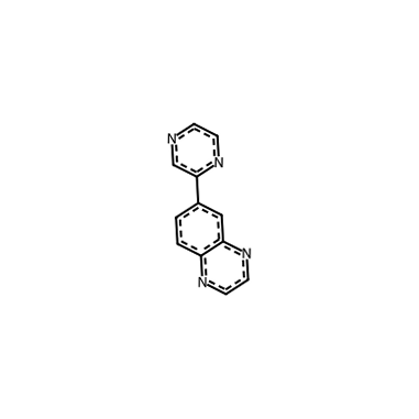 c1cnc(-c2ccc3nccnc3c2)cn1